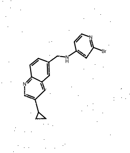 Brc1cc(NCc2ccc3ncc(C4CC4)cc3c2)ccn1